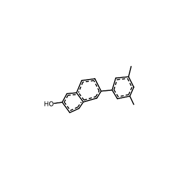 Cc1cc(C)cc(-c2ccc3cc(O)ccc3c2)c1